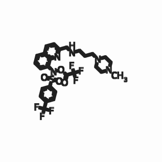 CN1CCN(CCCNCc2ccc3cccc(N(OC(=O)C(F)(F)F)S(=O)(=O)c4ccc(C(F)(F)F)cc4)c3n2)CC1